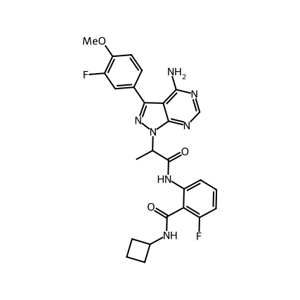 COc1ccc(-c2nn(C(C)C(=O)Nc3cccc(F)c3C(=O)NC3CCC3)c3ncnc(N)c23)cc1F